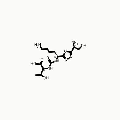 CC(O)[C@H](NC(=O)N[C@@H](CCCCN)c1nnc([C@@H](N)CO)o1)C(=O)O